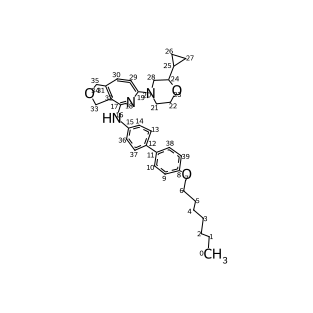 CCCCCCCOc1ccc(-c2ccc(NC3=NC(N4CCOC(C5CC5)C4)=C=CC4=C3COC4)cc2)cc1